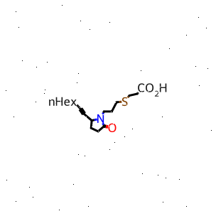 CCCCCCC#CC1CCC(=O)N1CCCSCCC(=O)O